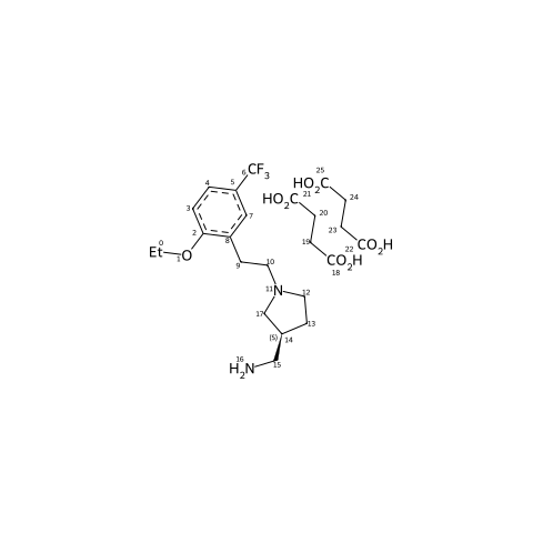 CCOc1ccc(C(F)(F)F)cc1CCN1CC[C@@H](CN)C1.O=C(O)CCC(=O)O.O=C(O)CCC(=O)O